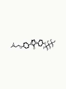 CN(C)CCOc1ccc(-n2ccn(-c3ccc(SC(F)(F)C(F)(F)C(F)(F)F)cc3)c2=O)cc1